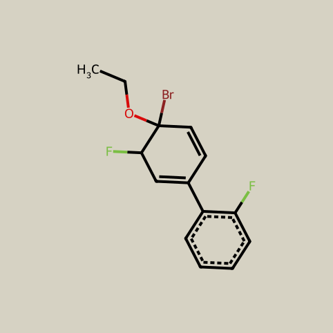 CCOC1(Br)C=CC(c2ccccc2F)=CC1F